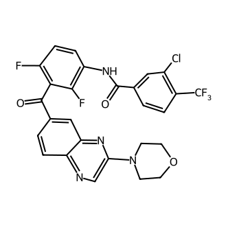 O=C(Nc1ccc(F)c(C(=O)c2ccc3ncc(N4CCOCC4)nc3c2)c1F)c1ccc(C(F)(F)F)c(Cl)c1